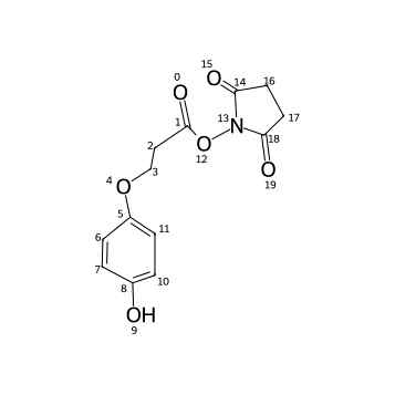 O=C(CCOc1ccc(O)cc1)ON1C(=O)CCC1=O